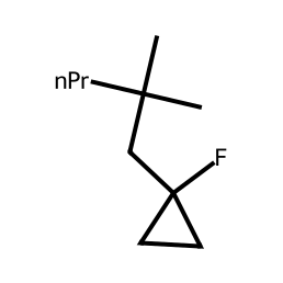 CCCC(C)(C)CC1(F)CC1